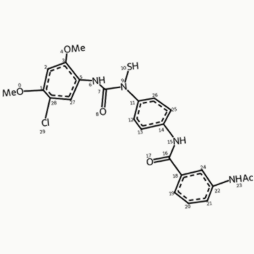 COc1cc(OC)c(NC(=O)N(S)c2ccc(NC(=O)c3cccc(NC(C)=O)c3)cc2)cc1Cl